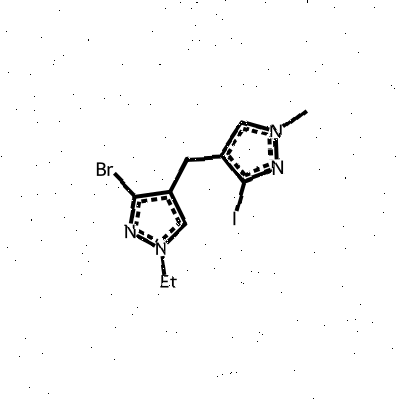 CCn1cc(Cc2cn(C)nc2I)c(Br)n1